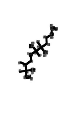 CCC(C)(N)C(C)COC(C)(CC)C(C)(CC)CCOC(C)(C)C